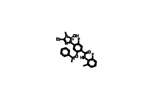 CCC1=NN(c2cc(O[C@@H](C)c3ccccc3)c(C(=O)Nc3c(C)cccc3F)cc2F)[C@@H](O)N1C